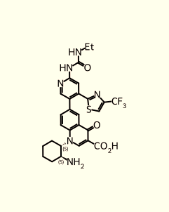 CCNC(=O)Nc1cc(-c2nc(C(F)(F)F)cs2)c(-c2ccc3c(c2)c(=O)c(C(=O)O)cn3[C@H]2CCCC[C@@H]2N)cn1